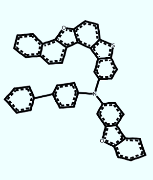 c1ccc(-c2ccc(N(c3ccc4c(c3)oc3ccccc34)c3ccc4sc5ccc6oc7c8ccccc8ccc7c6c5c4c3)cc2)cc1